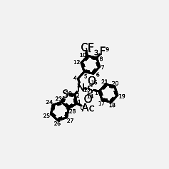 CC(=O)c1c(N(Cc2ccc(F)c(C(F)(F)F)c2)S(=O)(=O)c2ccccc2)sc2ccccc12